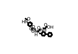 CC(=O)Nc1ccc(OP(=O)(O)CN[C@@H](Cc2ccc(-c3ccccc3)cc2)C(=O)NCCC(=O)O)cc1